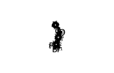 O=C(OCc1ccccc1)N1CCN(c2cc(F)c(Br)c(F)c2)CC1